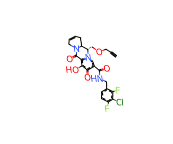 C#CCOC[C@H]1C2CC=CCN2C(=O)c2c(O)c(=O)c(C(=O)NCc3ccc(F)c(Cl)c3F)cn21